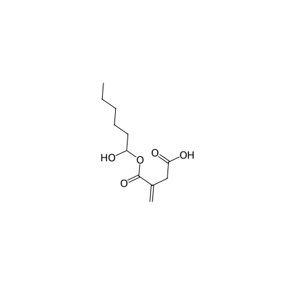 C=C(CC(=O)O)C(=O)OC(O)CCCCC